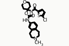 CN1CCc2ccc(NC(=O)OC3(NC(=O)c4ccc(Cl)s4)CCOCC3)cc2CC1